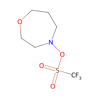 O=S(=O)(ON1CCCOCC1)C(F)(F)F